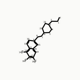 CCCC1CCC(CCc2ccc3c(F)c(F)c(F)cc3c2)CC1